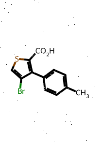 Cc1ccc(-c2c(Br)csc2C(=O)O)cc1